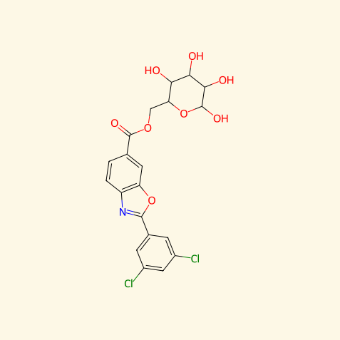 O=C(OCC1OC(O)C(O)C(O)C1O)c1ccc2nc(-c3cc(Cl)cc(Cl)c3)oc2c1